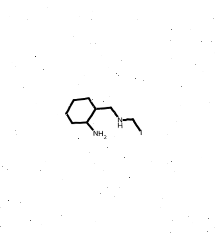 NC1CCCCC1CNCI